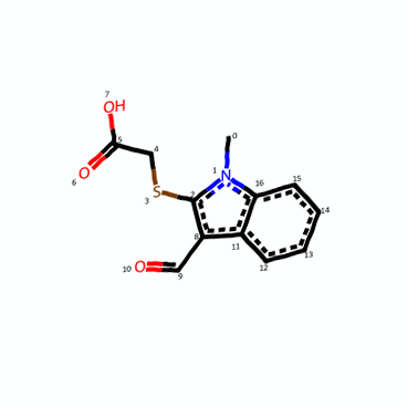 Cn1c(SCC(=O)O)c(C=O)c2ccccc21